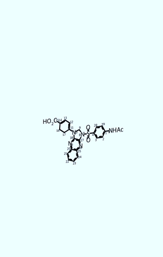 CC(=O)Nc1ccc(S(=O)(=O)N2CN(C3=CC=C(C(=O)O)CC3)c3nc4ccccc4nc32)cc1